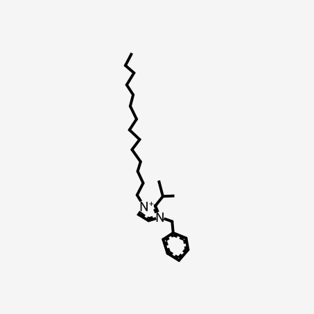 CCCCCCCCCCCCCC[n+]1ccn(Cc2ccccc2)c1C(C)C